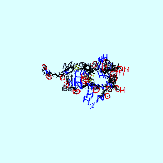 CCC(=O)N[C@H](C(=O)NCC(=O)N[C@H]1C[S+]([O-])c2[nH]c3c(CSC4CCN(C(=O)CCCCCN5C(=O)CCC5=O)CC4)c(OC)ccc3c2C[C@@H](C(N)=O)NC(=O)[C@H]([C@@H](C)[C@@H](O)CO)NC(=O)[C@@H]2C[C@@H](O)CN2C(=O)[C@H](CCC(N)=O)NC1=O)[C@@H](C)CC